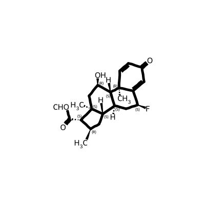 C[C@@H]1C[C@H]2[C@@H]3C[C@H](F)C4=CC(=O)C=C[C@]4(C)[C@H]3[C@H](O)C[C@]2(C)[C@H]1C(=O)C=O